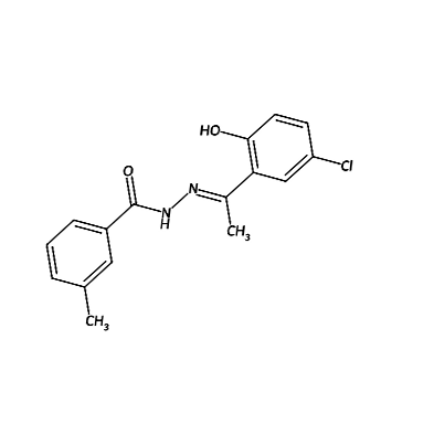 C/C(=N\NC(=O)c1cccc(C)c1)c1cc(Cl)ccc1O